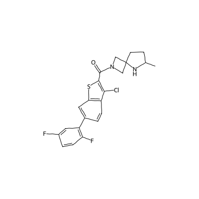 CC1CCC2(CN(C(=O)c3sc4cc(-c5cc(F)ccc5F)ccc4c3Cl)C2)N1